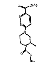 COC(=O)c1ccc(N2CCN(C(=O)OC(C)(C)C)C(C)C2)nn1